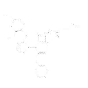 C=CCOC(=O)N[C@@H]1C(=O)N2C(c3nnnn3Cc3ccc(OC)cc3OC)C(Sc3ccncc3)=CS[C@H]12